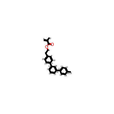 C=C(C)C(=O)OCCc1ccc(-c2cccc(-c3ccc(C)cc3)c2)cc1